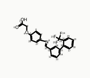 O=C(O)COc1ccc(N=Cc2cccc(-c3ccccc3C(F)(F)F)c2)cc1